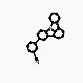 N#Cc1cccc(-c2ccc3c(c2)c2cccc4c5ccccc5n3c42)c1